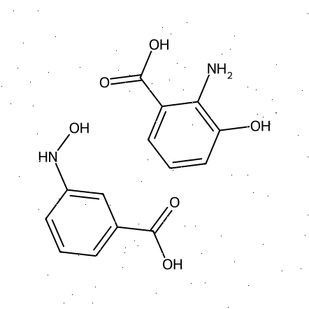 Nc1c(O)cccc1C(=O)O.O=C(O)c1cccc(NO)c1